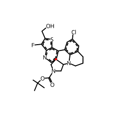 CC(C)(C)OC(=O)N1CCC(N2CCCc3cc(Cl)cc(-c4ccnc5c(F)c(CO)sc45)c32)C1